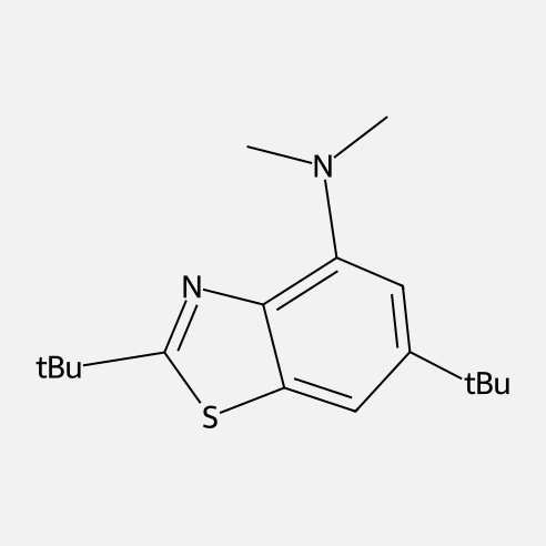 CN(C)c1cc(C(C)(C)C)cc2sc(C(C)(C)C)nc12